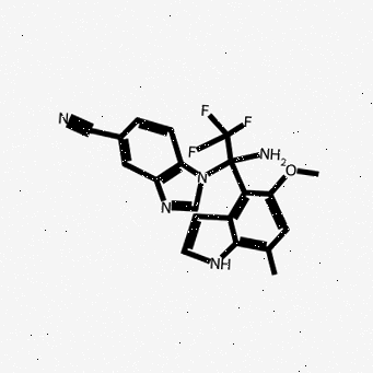 COc1cc(C)c2[nH]ccc2c1C(N)(n1cnc2cc(C#N)ccc21)C(F)(F)F